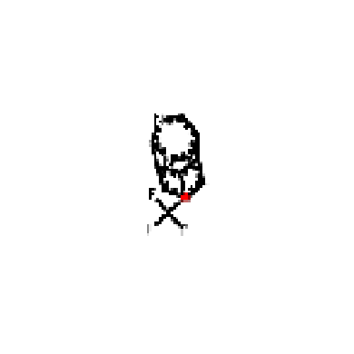 FC(F)(F)Oc1c2[c]ccc1-c1ncc-2cn1